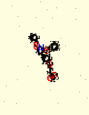 c1ccc(COc2ccc(-c3ccc(OCCCC4OCCO4)cc3)c(OCc3ccccc3)n2)cc1